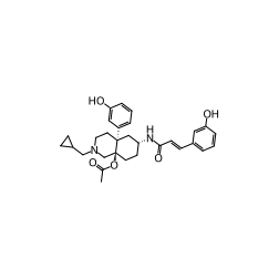 CC(=O)O[C@]12CC[C@@H](NC(=O)C=Cc3cccc(O)c3)C[C@]1(c1cccc(O)c1)CCN(CC1CC1)C2